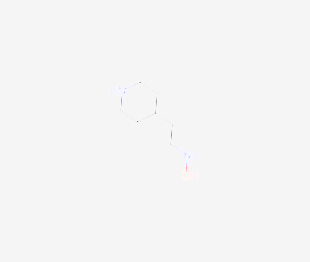 ONCCC1CCNCC1